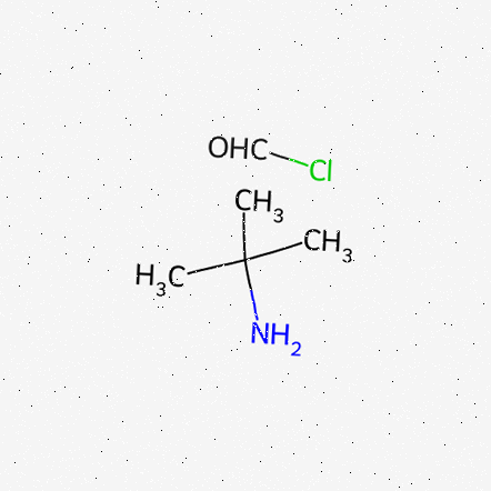 CC(C)(C)N.O=CCl